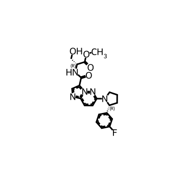 COC(=O)[C@@H](CO)NC(=O)c1cnc2ccc(N3CCC[C@@H]3c3cccc(F)c3)nn12